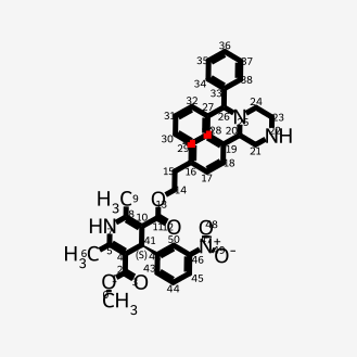 COC(=O)C1=C(C)NC(C)=C(C(=O)OCCc2ccc(C3CNCCN3C(c3ccccc3)c3ccccc3)cc2)[C@H]1c1cccc([N+](=O)[O-])c1